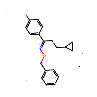 Fc1ccc(/C(CCC2CC2)=N/OCc2ccccc2)cc1